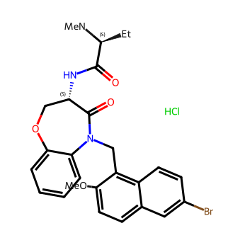 CC[C@H](NC)C(=O)N[C@H]1COc2ccccc2N(Cc2c(OC)ccc3cc(Br)ccc23)C1=O.Cl